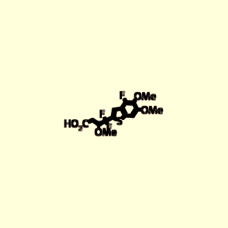 COc1cc2sc(C(F)(F)[C@H](CC(=O)O)OC)cc2c(F)c1OC